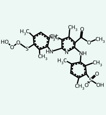 COC(=O)c1c(Nc2c(C)cc(C)c(S(=O)(=O)O)c2C)nc(Nc2c(C)cc(C)c(SOOO)c2C)c(C)c1C